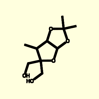 CC1C2OC(C)(C)OC2OC1(CO)CO